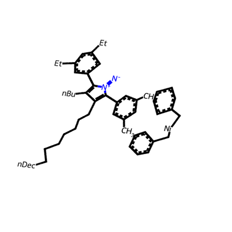 CCCCCCCCCCCCCCCCCC1=C(c2cc(C)cc(C)c2)[N+](=[N-])C(c2cc(CC)cc(CC)c2)=C1CCCC.c1ccc([CH2][Ni][CH2]c2ccccc2)cc1